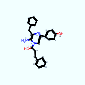 NC1=C(Cc2ccccc2)NC(c2ccc(O)cc2)=CN1C(O)CCc1ccccc1